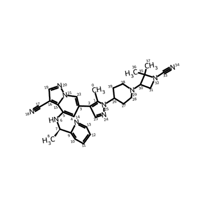 Cc1c(-c2cc(N[C@H](C)c3ccccn3)c3c(C#N)cnn3c2)cnn1C1CCN(C2CN(C#N)C2(C)C)CC1